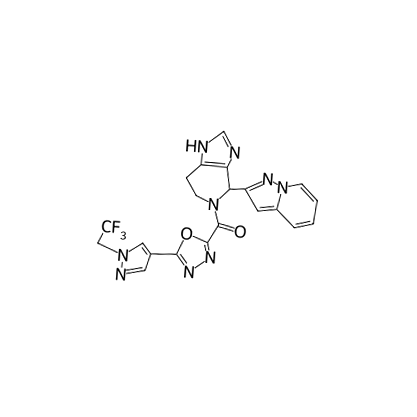 O=C(c1nnc(-c2cnn(CC(F)(F)F)c2)o1)N1CCc2[nH]cnc2C1c1cc2ccccn2n1